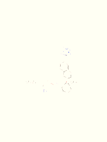 CN[C@@H](C)C(=O)N[C@H]1CCc2ccccc2N(Cc2c(OC)ccc3cc(-c4nnnn4C)ccc23)C1=O.Cl